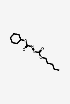 CCCCCOC(=O)/N=N/C(=O)OC1CCCCC1